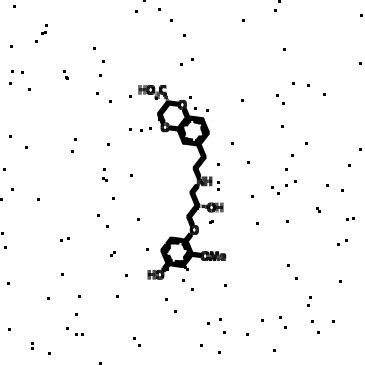 COc1cc(O)ccc1OC[C@@H](O)CNCCc1ccc2c(c1)OC[C@H](C(=O)O)O2